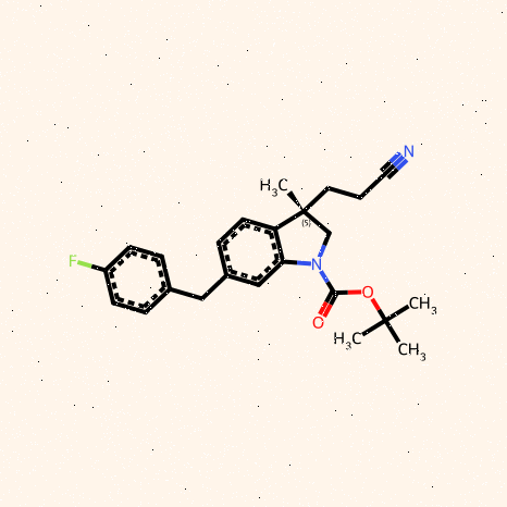 CC(C)(C)OC(=O)N1C[C@@](C)(CCC#N)c2ccc(Cc3ccc(F)cc3)cc21